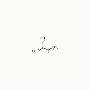 CN(SC(Cl)(Cl)Cl)C(=O)O.Cl